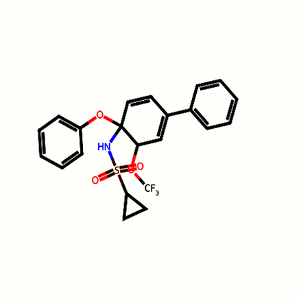 O=S(=O)(NC1(Oc2ccccc2)C=CC(c2ccccc2)=CC1OC(F)(F)F)C1CC1